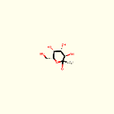 O=S(=O)(O)C1(O)O[C@H](CO)[C@H](O)[C@H](O)[C@H]1O